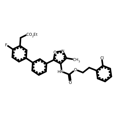 CCOC(=O)Cc1cc(-c2cccc(-c3onc(C)c3NC(=O)OCCc3ccccc3Cl)c2)ccc1F